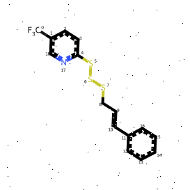 FC(F)(F)c1ccc(SSSC/C=C/c2ccccc2)nc1